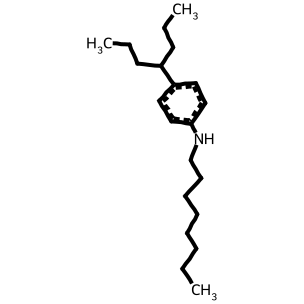 CCCCCCCCNc1ccc(C(CCC)CCC)cc1